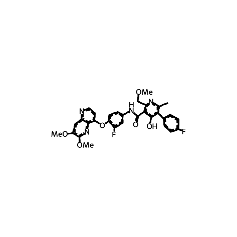 COCc1nc(C)c(-c2ccc(F)cc2)c(O)c1C(=O)Nc1ccc(Oc2ccnc3cc(OC)c(OC)nc23)c(F)c1